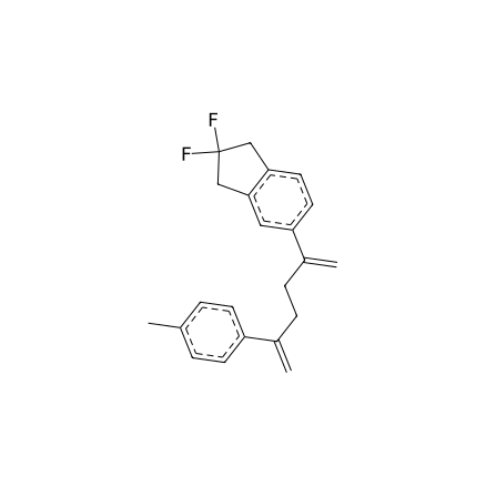 C=C(CCC(=C)c1ccc2c(c1)CC(F)(F)C2)c1ccc(C)cc1